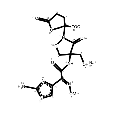 CON=C(C(=O)NC1(CO)CON(C2(C(=O)[O-])CCC(=O)O2)C1=O)c1csc(N)n1.[Na+]